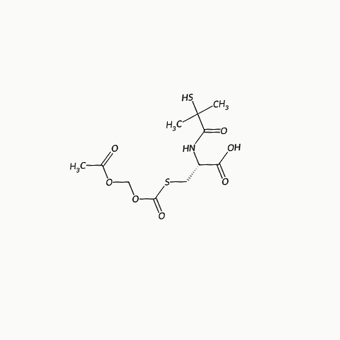 CC(=O)OCOC(=O)SC[C@H](NC(=O)C(C)(C)S)C(=O)O